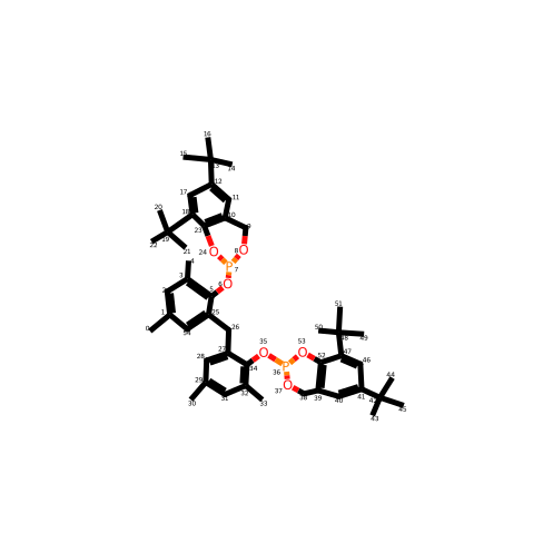 Cc1cc(C)c(OP2OCc3cc(C(C)(C)C)cc(C(C)(C)C)c3O2)c(Cc2cc(C)cc(C)c2OP2OCc3cc(C(C)(C)C)cc(C(C)(C)C)c3O2)c1